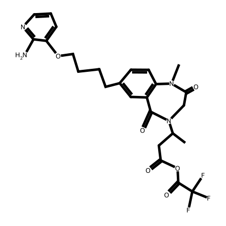 CC(CC(=O)OC(=O)C(F)(F)F)N1CC(=O)N(C)c2ccc(CCCCOc3cccnc3N)cc2C1=O